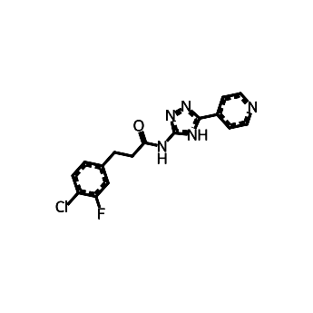 O=C(CCc1ccc(Cl)c(F)c1)Nc1nnc(-c2ccncc2)[nH]1